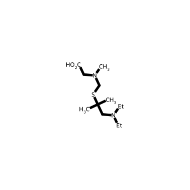 CCN(CC)CC(C)(C)SCN(C)CC(=O)O